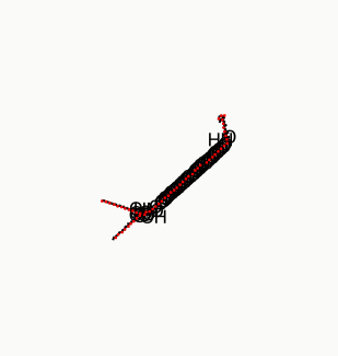 CCCCCCCCCCCCCCCCCC(=O)OC[C@H](COP(=O)(O)OCCNC(=O)OCCOOOOOOOOOOOOOOOOOOOOOOOOOOOOOOOOOOOOOOOOOOOO/C=C\NC(=O)/C=C(C)/C=C/C=C(C)/C=C/C1=C(C)CCCC1(C)C)OC(=O)CCCCCCCCCCCCCCCCC